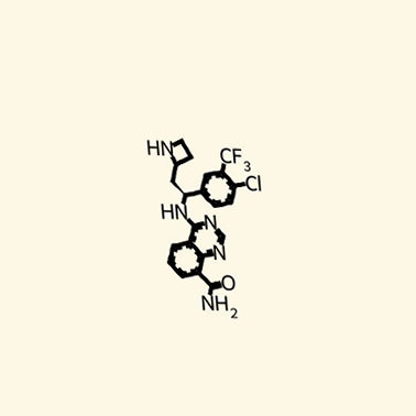 NC(=O)c1cccc2c(N[C@@H](CC3CCN3)c3ccc(Cl)c(C(F)(F)F)c3)ncnc12